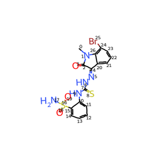 CN1C(=O)C(=NNC(=S)Nc2ccccc2S(N)(=O)=O)c2cccc(Br)c21